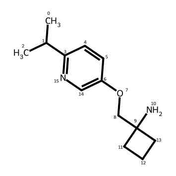 CC(C)c1ccc(OCC2(N)CCC2)cn1